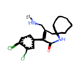 CCNCC1=C(c2ccc(Cl)c(Cl)c2)C(=O)NC12CCCCC2